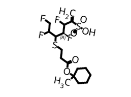 C=C(C(F)[C@@H](F)C(SCCC(=O)OC1(C)CCCCC1)C(F)CF)S(=O)(=O)O